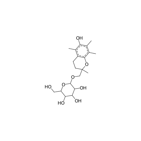 Cc1c(C)c2c(c(C)c1O)CCC(C)(COC1OC(CO)C(O)C(O)C1O)O2